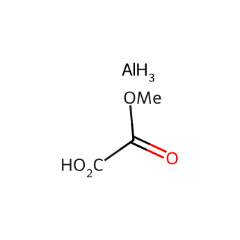 COC(=O)C(=O)O.[AlH3]